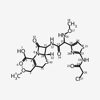 COCC1=C(C(=O)O)N2C(=O)C(NC(=O)C(NOC)c3csc(NC(=O)CCl)n3)[C@@H]2SC1